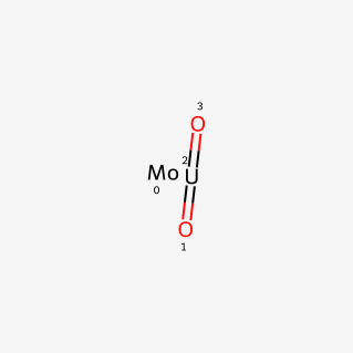 [Mo].[O]=[U]=[O]